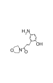 Nc1ccc(O)c(C=CC(=O)N2CCOCC2)c1